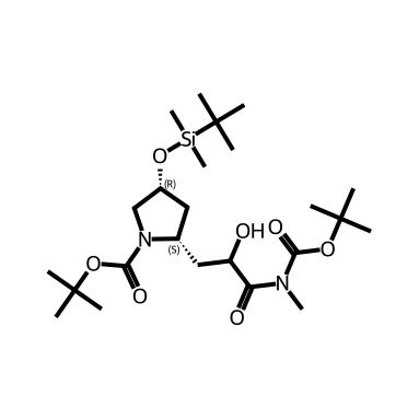 CN(C(=O)OC(C)(C)C)C(=O)C(O)C[C@H]1C[C@@H](O[Si](C)(C)C(C)(C)C)CN1C(=O)OC(C)(C)C